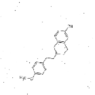 COc1ccc(CCN2CCc3cc(O)ccc3C2)cc1